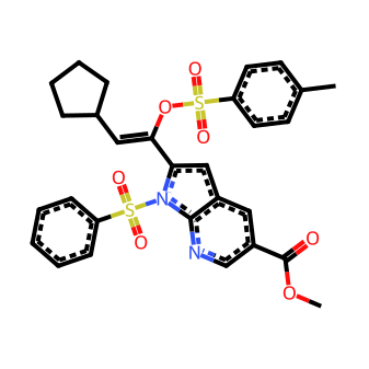 COC(=O)c1cnc2c(c1)cc(/C(=C/C1CCCC1)OS(=O)(=O)c1ccc(C)cc1)n2S(=O)(=O)c1ccccc1